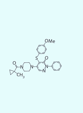 COc1ccc(Sc2c(N3CCN(C(=O)C4(C)CC4)CC3)cnn(-c3ccccc3)c2=O)cc1